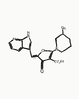 CCOC(=O)C1=C(N2CCCC(O)C2)O/C(=C\c2c[nH]c3ncccc23)C1=O